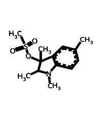 Cc1ccc2c(c1)C(C)(OS(C)(=O)=O)C(C)N2C